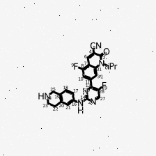 CC(C)n1c(=O)c(C#N)cc2c(F)cc(-c3nc(Nc4ccc5c(c4)CCNC5)ncc3F)cc21